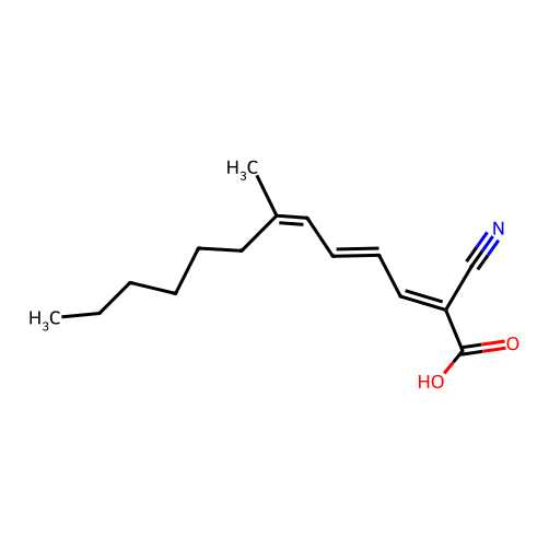 CCCCCC\C(C)=C/C=C/C=C(\C#N)C(=O)O